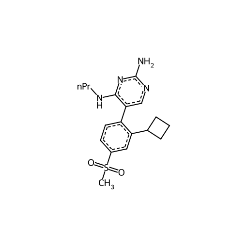 CCCNc1nc(N)ncc1-c1ccc(S(C)(=O)=O)cc1C1CCC1